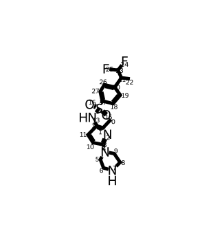 Cc1nc(N2CCNCC2)ccc1NS(=O)(=O)c1ccc(C(C)C(F)F)cc1